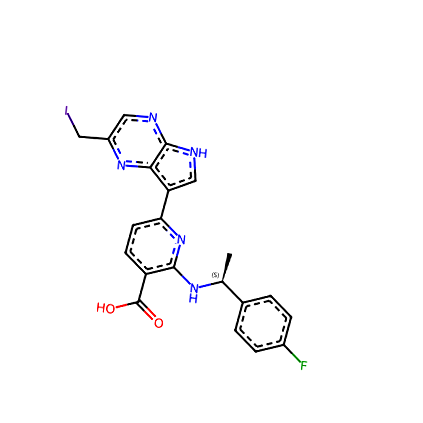 C[C@H](Nc1nc(-c2c[nH]c3ncc(CI)nc23)ccc1C(=O)O)c1ccc(F)cc1